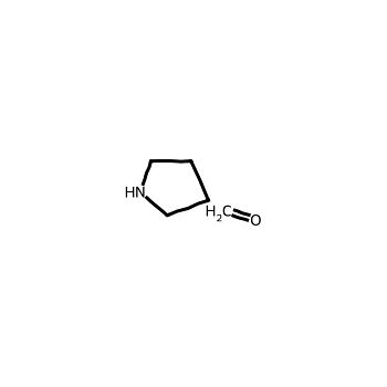 C1CCNC1.C=O